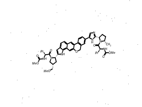 COC[C@H]1C[C@@H](c2cc3ccc4cc5c(cc4c3[nH]2)OCc2cc(-c3cnc([C@@H]4CC[C@H](C)N4C(=O)[C@@H](NC(=O)OC)C(C)C)[nH]3)ccc2-5)N(C(=O)[C@@H](NC(=O)OC)C(C)C)C1